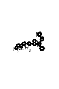 CC1(C)c2cc(-c3ccc(-c4ccc(-c5nc(-c6ccccc6)cc(-c6cccc(-c7cccnc7)c6)n5)c5ccccc45)cc3)ccc2-c2ccc3ccccc3c21